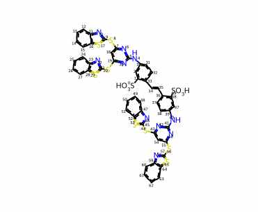 O=S(=O)(O)c1cc(Nc2nc(Sc3nc4ccccc4s3)cc(Sc3nc4ccccc4s3)n2)ccc1C=Cc1ccc(Nc2nc(Sc3nc4ccccc4s3)cc(Sc3nc4ccccc4s3)n2)cc1S(=O)(=O)O